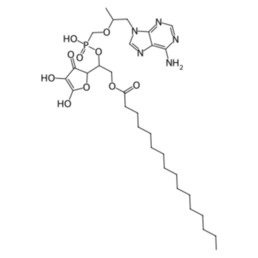 CCCCCCCCCCCCCCCC(=O)OCC(OP(=O)(O)COC(C)Cn1cnc2c(N)ncnc21)C1OC(O)=C(O)C1=O